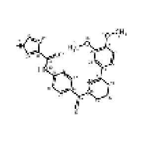 COc1ccc(C2=NN(C(=O)c3ccc(NC(=O)c4c[nH]cn4)cc3)CCC2)cc1OC